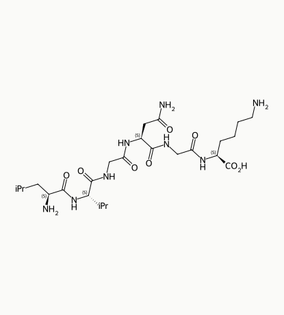 CC(C)C[C@H](N)C(=O)N[C@H](C(=O)NCC(=O)N[C@@H](CC(N)=O)C(=O)NCC(=O)N[C@@H](CCCCN)C(=O)O)C(C)C